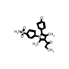 CCC(=O)c1c(C)c(-c2ccc(Cl)cc2)n(-c2ccc(S(N)(=O)=O)cc2)c1C